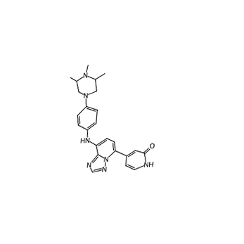 CC1CN(c2ccc(Nc3ccc(-c4cc[nH]c(=O)c4)n4ncnc34)cc2)CC(C)N1C